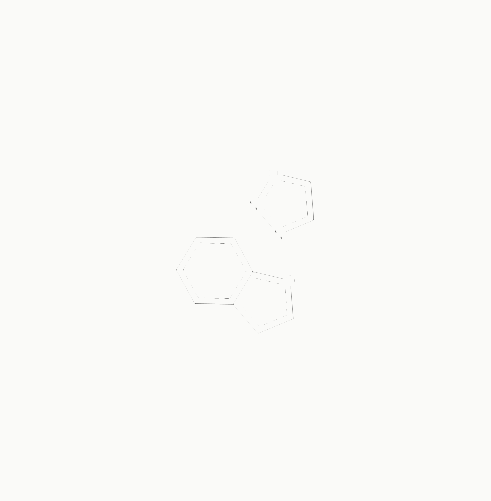 c1ccc2occc2c1.c1conn1